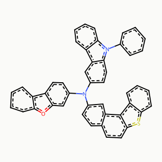 c1ccc(-n2c3ccccc3c3cc(N(c4ccc5c(c4)oc4ccccc45)c4ccc5ccc6sc7ccccc7c6c5c4)ccc32)cc1